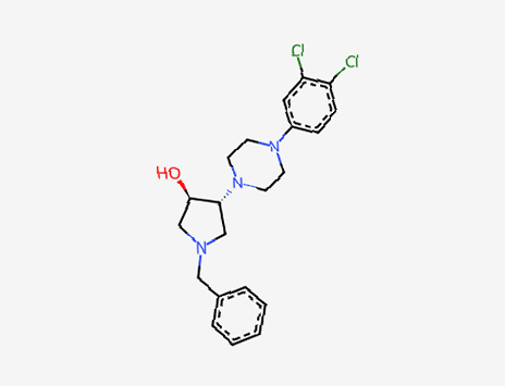 O[C@@H]1CN(Cc2ccccc2)C[C@H]1N1CCN(c2ccc(Cl)c(Cl)c2)CC1